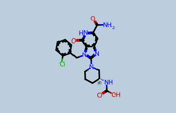 NC(=O)c1cc2nc(N3CCC[C@@H](NC(=O)O)C3)n(Cc3ccccc3Cl)c2c(=O)[nH]1